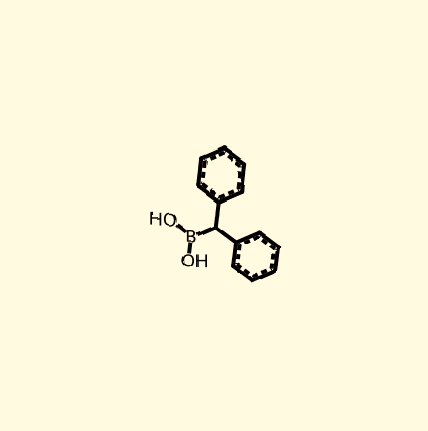 OB(O)C(c1ccccc1)c1ccccc1